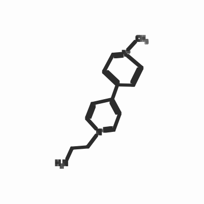 C[n+]1ccc(-c2cc[n+](CCN)cc2)cc1